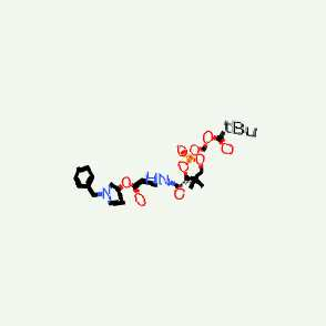 CC(C)(C)C(=O)OCOP1(=O)OCC(C)(C)[C@H](C(=O)NCCC(=O)OC2CCN(Cc3ccccc3)C2)O1